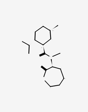 CC(C)[C@@H]1CC[C@@H](C)C[C@H]1C(=O)N(C)[C@H]1CCCCOC1=O